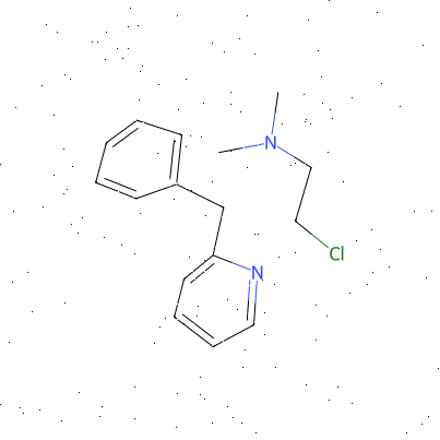 CN(C)CCCl.c1ccc(Cc2ccccn2)cc1